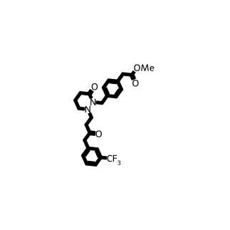 COC(=O)Cc1ccc(CN2C(=O)CCCN2CCC(=O)Cc2cccc(C(F)(F)F)c2)cc1